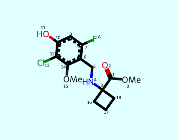 COC(=O)C1(NCc2c(F)cc(O)c(Cl)c2OC)CCC1